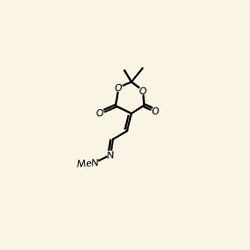 CNN=CC=C1C(=O)OC(C)(C)OC1=O